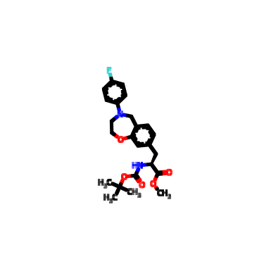 COC(=O)[C@H](Cc1ccc2c(c1)OCCN(c1ccc(F)cc1)C2)NC(=O)OC(C)(C)C